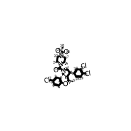 C[C@@H](Oc1ccc(Cl)cc1)[C@@H]1CN(C(=O)N2CCN(S(C)(=O)=O)CC2)C[C@H]1c1ccc(Cl)c(Cl)c1